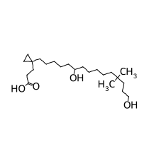 CC(C)(CCCO)CCCCCC(O)CCCCCC1(CCC(=O)O)CC1